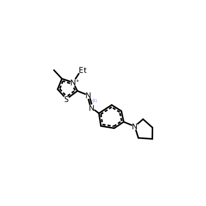 CC[n+]1c(C)csc1/N=N/c1ccc(N2CCCC2)cc1